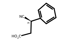 N#C[C@H](CC(=O)O)c1ccccc1